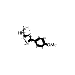 COc1ccc(-c2nnc(NN)s2)cc1